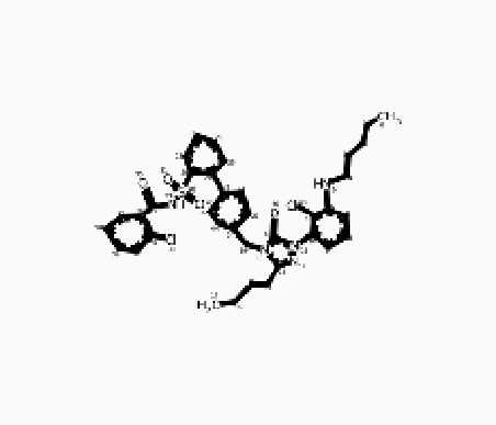 CCCCCNc1cccc(-n2nc(CCCC)n(Cc3ccc(-c4ccccc4S(=O)(=O)NC(=O)c4ccccc4Cl)cc3)c2=O)c1Cl